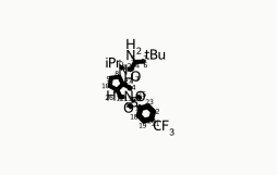 CC(C)N(C(=O)[C@@H](N)CC(C)(C)C)[C@H]1CC[C@@H]2CN(S(=O)(=O)c3ccc(C(F)(F)F)cc3)C[C@@H]21